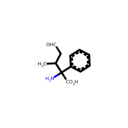 CC(CC=O)C(N)(C(=O)O)c1ccccc1